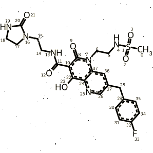 CS(=O)(=O)NCCn1c(=O)c(C(=O)NCCN2CCNC2=O)c(O)c2ncc(Cc3ccc(F)cc3)cc21